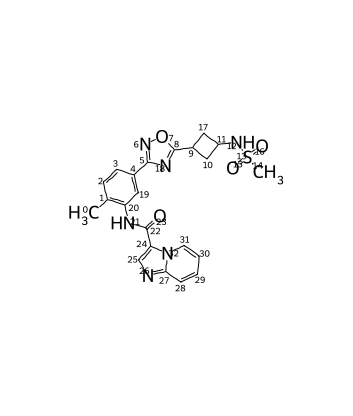 Cc1ccc(-c2noc(C3CC(NS(C)(=O)=O)C3)n2)cc1NC(=O)c1cnc2ccccn12